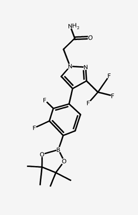 CC1(C)OB(c2ccc(-c3cn(CC(N)=O)nc3C(F)(F)F)c(F)c2F)OC1(C)C